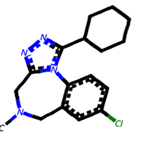 CN1Cc2cc(Cl)ccc2-n2c(nnc2C2CCCCC2)C1